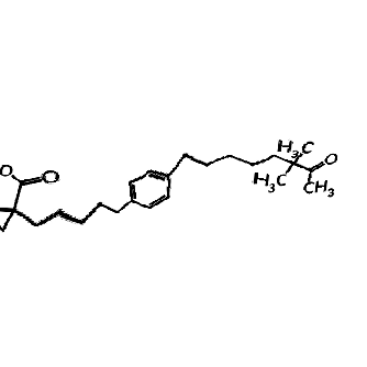 CC(=O)C(C)(C)CCCCCc1ccc(CCCCCC2(C(=O)O)CC2)cc1